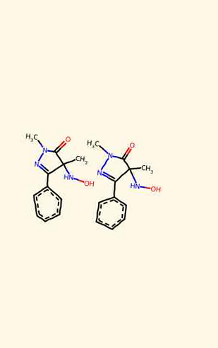 CN1N=C(c2ccccc2)C(C)(NO)C1=O.CN1N=C(c2ccccc2)C(C)(NO)C1=O